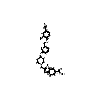 Cn1c(CN2CCC(Oc3cccc(COc4ccc(C#N)cc4F)n3)CC2)nc2ccc(C(=O)O)cc21